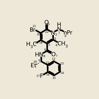 CCCNn1c(C)c(C(=O)N[C@@H](CC)c2ccccc2F)c(C)c(Br)c1=O